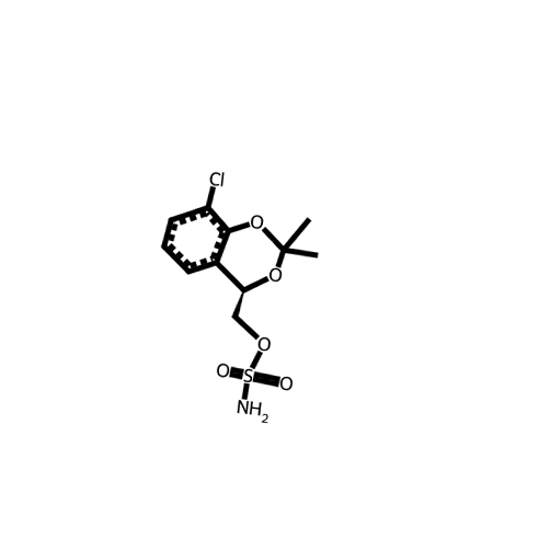 CC1(C)Oc2c(Cl)cccc2[C@H](COS(N)(=O)=O)O1